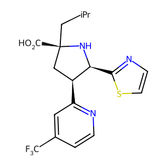 CC(C)C[C@@]1(C(=O)O)C[C@H](c2cc(C(F)(F)F)ccn2)[C@H](c2nccs2)N1